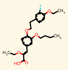 CCCCOc1cc(/C=C(\OCC)C(=O)O)ccc1OCCc1ccc(OCC)c(F)c1